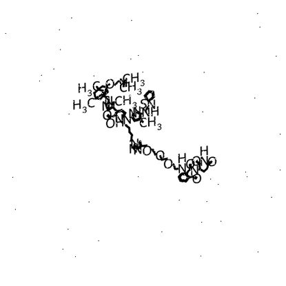 Cc1cc(N(CCCCCn2cc(COCCOCCOCCNc3cccc4c3C(=O)N(C3CCC(=O)NC3=O)C4=O)nn2)c2ccc(-c3cnn(CC45CC6(C)CC(C)(C4)CC(OCCN(C)C)(C6)C5)c3C)c(C(=O)O)n2)nnc1Nc1nc2ccccc2s1